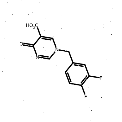 O=C(O)c1cn(Cc2ccc(F)c(F)c2)cnc1=O